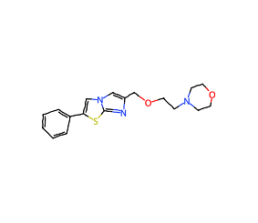 c1ccc(-c2cn3cc(COCCN4CCOCC4)nc3s2)cc1